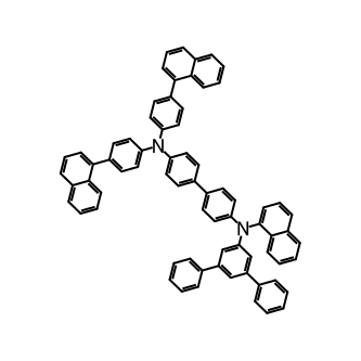 c1ccc(-c2cc(-c3ccccc3)cc(N(c3ccc(-c4ccc(N(c5ccc(-c6cccc7ccccc67)cc5)c5ccc(-c6cccc7ccccc67)cc5)cc4)cc3)c3cccc4ccccc34)c2)cc1